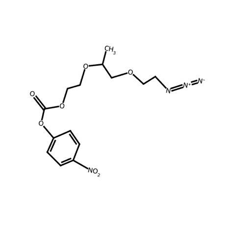 CC(COCCN=[N+]=[N-])OCCOC(=O)Oc1ccc([N+](=O)[O-])cc1